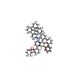 c1ccc(-c2ccccc2-c2c(-c3ccccc3)cccc2-c2cccc(N(c3ccc(-c4cccc5c4oc4ccccc45)cc3)c3ccc4c(c3)C(c3ccccc3)(c3ccccc3)c3ccccc3-4)c2)cc1